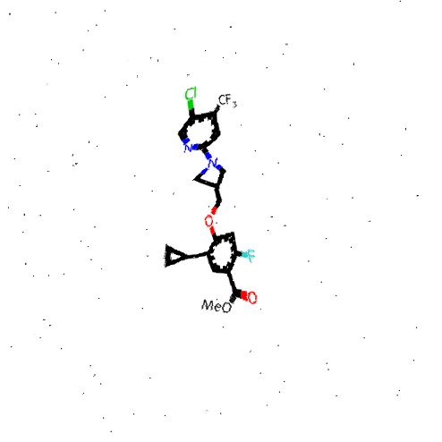 COC(=O)c1cc(C2CC2)c(OCC2CN(c3cc(C(F)(F)F)c(Cl)cn3)C2)cc1F